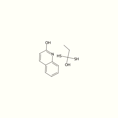 CCC(O)(S)S.Oc1ccc2ccccc2n1